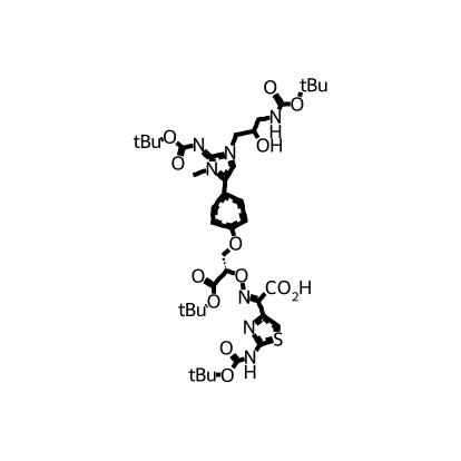 Cn1c(-c2ccc(OC[C@H](O/N=C(\C(=O)O)c3csc(NC(=O)OC(C)(C)C)n3)C(=O)OC(C)(C)C)cc2)cn(CC(O)CNC(=O)OC(C)(C)C)/c1=N/C(=O)OC(C)(C)C